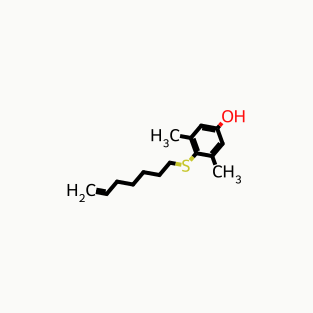 C=CCCCCCSc1c(C)cc(O)cc1C